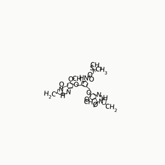 C=C1C[C@H]2C=Nc3cc(OCc4cc(COc5cc6c(cc5OC)C(=O)N5CC(=C)C[C@H]5C=N6)cc(NC(=O)OC[C@@H](C)SC)c4)c(OC)cc3C(=O)N2C1